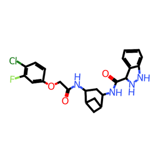 O=C(COc1ccc(Cl)c(F)c1)NC1CC(NC(=O)C2NNc3ccccc32)C2CC1C2